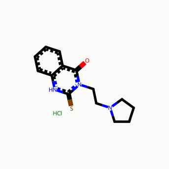 Cl.O=c1c2ccccc2[nH]c(=S)n1CCN1CCCC1